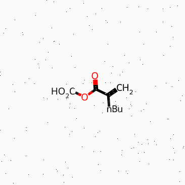 C=C(CCCC)C(=O)OC(=O)O